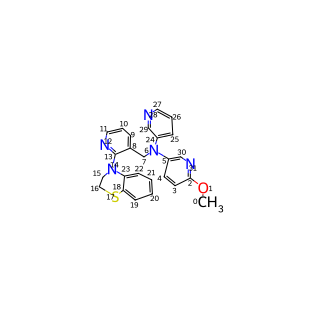 COc1ccc(N(Cc2cccnc2N2CCSc3ccccc32)c2cccnc2)cn1